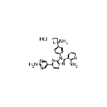 Cl.Nc1ncc(-c2ccc3nc(-c4cccnc4N)n(-c4ccc(C5(N)CCC5)cc4)c3n2)cn1